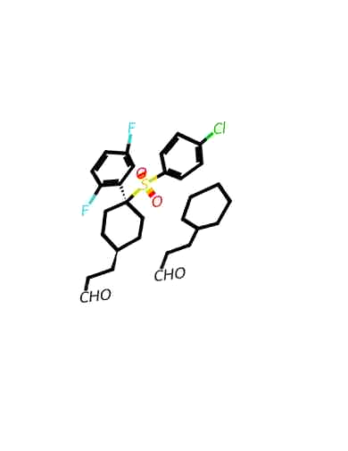 O=CCCC1CCCCC1.O=CCC[C@H]1CC[C@@](c2cc(F)ccc2F)(S(=O)(=O)c2ccc(Cl)cc2)CC1